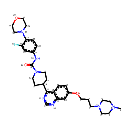 CN1CCN(CCCOc2ccc3c(C4CCN(C(=O)Nc5ccc(N6CCOCC6)c(F)c5)CC4)ncnc3c2)CC1